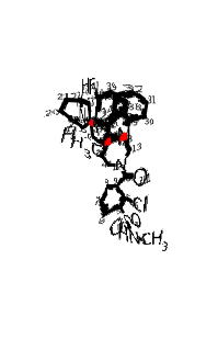 CNS(=O)(=O)c1cccc(C(=O)N2CCC(CCN3[C@@H]4CC[C@H]3C[C@@H](n3c(C)nc5ccccc53)C4)(c3cccc(F)c3)CC2)c1Cl